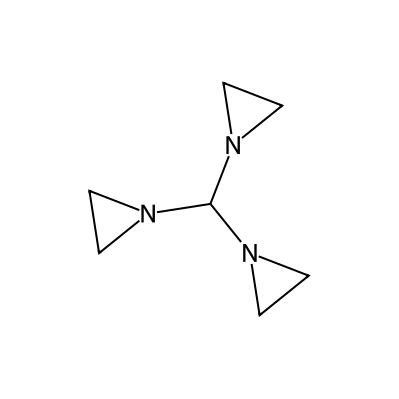 C1CN1C(N1CC1)N1CC1